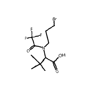 CC(C)(C)C(C(=O)O)N(CCCBr)C(=O)C(F)(F)F